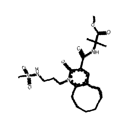 COC(=O)C(C)(C)NC(=O)c1cc2c(n(CCCNS(C)(=O)=O)c1=O)CCCCCC2